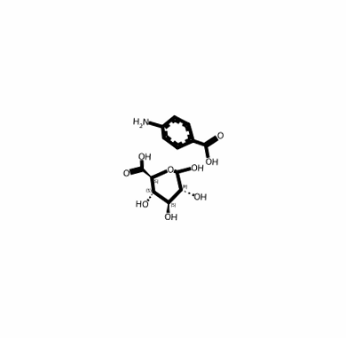 Nc1ccc(C(=O)O)cc1.O=C(O)[C@H]1OC(O)[C@H](O)[C@@H](O)[C@@H]1O